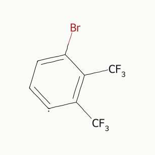 FC(F)(F)c1[c]ccc(Br)c1C(F)(F)F